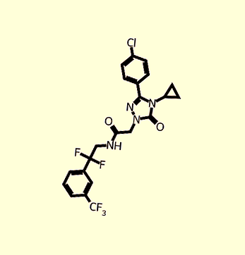 O=C(Cn1nc(-c2ccc(Cl)cc2)n(C2CC2)c1=O)NCC(F)(F)c1cccc(C(F)(F)F)c1